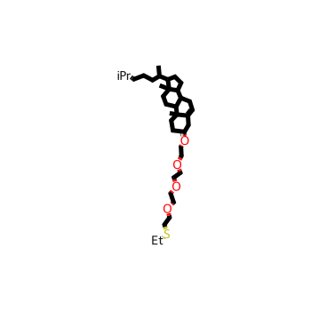 CCSCCOCCOCCOCCO[C@H]1CCC2(C)C(=CCC3C2CCC2(C)C(C(C)CCCC(C)C)CCC32)C1